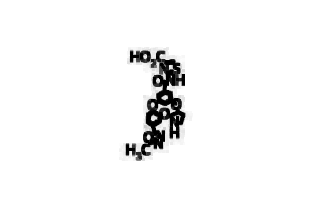 Cc1nnc(-c2ccc(Oc3cc(OC4CCNC4=O)cc(C(=O)Nc4nc(C(=O)O)cs4)c3)cc2)o1